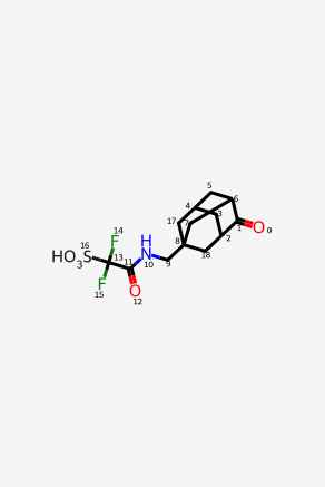 O=C1C2CC3CC1CC(CNC(=O)C(F)(F)S(=O)(=O)O)(C3)C2